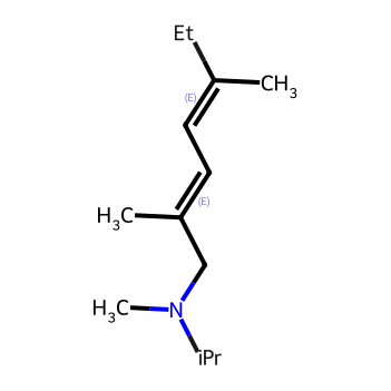 CC/C(C)=C/C=C(\C)CN(C)C(C)C